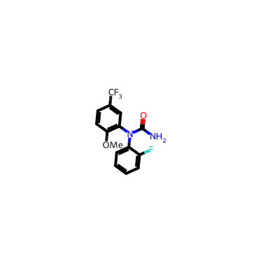 COc1ccc(C(F)(F)F)cc1N(C(N)=O)c1ccccc1F